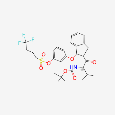 CC(C)[C@H](NC(=O)OC(C)(C)C)C(=O)C1Cc2ccccc2C1Oc1cccc(OS(=O)(=O)CCCC(F)(F)F)c1